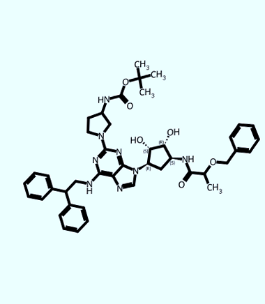 CC(OCc1ccccc1)C(=O)N[C@H]1C[C@@H](n2cnc3c(NCC(c4ccccc4)c4ccccc4)nc(N4CCC(NC(=O)OC(C)(C)C)C4)nc32)[C@H](O)[C@@H]1O